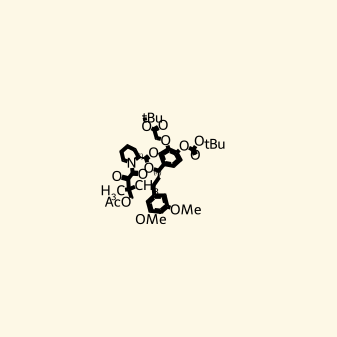 COc1ccc(CC[C@@H](OC(=O)[C@@H]2CCCCN2C(=O)C(=O)C(C)(C)COC(C)=O)c2ccc(OC(=O)OC(C)(C)C)c(OCC(=O)OC(C)(C)C)c2)cc1OC